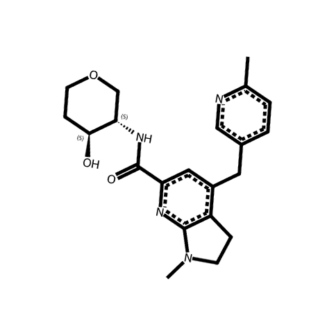 Cc1ccc(Cc2cc(C(=O)N[C@H]3COCC[C@@H]3O)nc3c2CCN3C)cn1